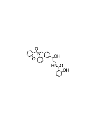 O=C(NCCC(O)c1ccc(CN2C(=O)c3ccccc3Oc3ccccc32)cc1)c1ccccc1O